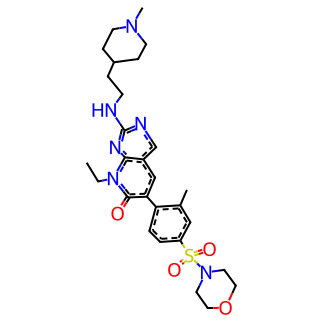 CCn1c(=O)c(-c2ccc(S(=O)(=O)N3CCOCC3)cc2C)cc2cnc(NCCC3CCN(C)CC3)nc21